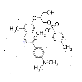 C=C=C(/C=C\c1ccc(OC(CO)COS(=O)(=O)c2ccc(C)cc2)cc1C)c1ccc(N(C)C)cc1